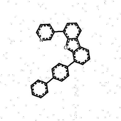 c1ccc(-c2ccc(-c3cccc4c3oc3c(-c5cccnc5)cccc34)cc2)cc1